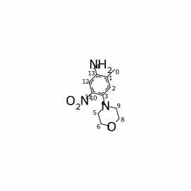 Cc1cc(N2CCOCC2)c([N+](=O)[O-])cc1N